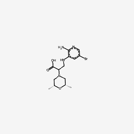 C[C@@H]1CN(C(CNc2cc(Br)cnc2N)C(=O)O)C[C@H](C)O1